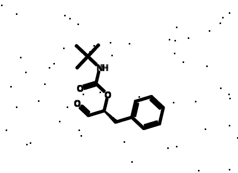 CC(C)(C)NC(=O)O[C@H](C=O)Cc1ccccc1